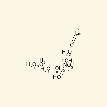 O.O.O.O.O.O.O=[N+]([O-])O.[O]=[La]